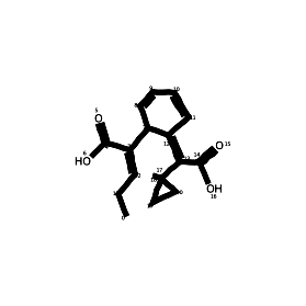 CC/C=C(\C(=O)O)C1C=CC=C/C1=C(\C(=O)O)C1(C)CC1